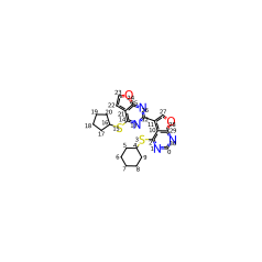 c1nc(SC2CCCCC2)c2c(-c3nc(SC4CCCC4)c4ccoc4n3)coc2n1